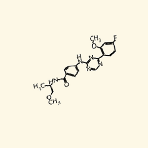 COCC(C)NC(=O)c1ccc(Nc2ncnc(-c3ccc(F)cc3OC)n2)cc1